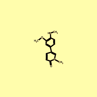 CNc1ccc(-c2ccc(=O)n(C)c2)cc1OC